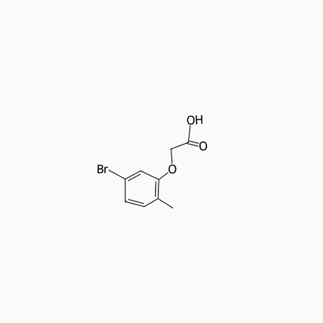 Cc1ccc(Br)cc1OCC(=O)O